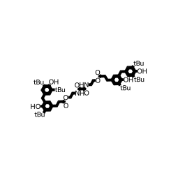 CC(C)(C)c1cc(CCC(=O)OCCNC(=O)C(=O)NCCOC(=O)CCc2cc(Cc3cc(C(C)(C)C)c(O)c(C(C)(C)C)c3)c(O)c(C(C)(C)C)c2)cc(Cc2cc(C(C)(C)C)c(O)c(C(C)(C)C)c2)c1O